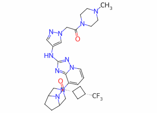 CN1CCN(C(=O)Cn2cc(Nc3nc4c(N5CC6CCC(C5)N6C(=O)[C@H]5C[C@@H](C(F)(F)F)C5)cccn4n3)cn2)CC1